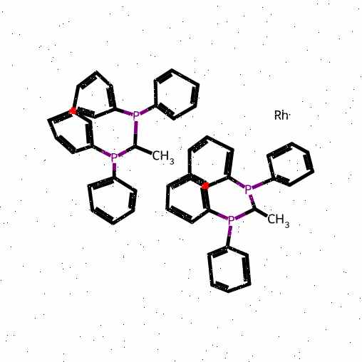 CC(P(c1ccccc1)c1ccccc1)P(c1ccccc1)c1ccccc1.CC(P(c1ccccc1)c1ccccc1)P(c1ccccc1)c1ccccc1.[Rh]